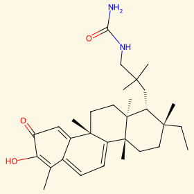 CC[C@]1(C)CC[C@]2(C)C3=CC=C4C(=CC(=O)C(O)=C4C)[C@]3(C)CC[C@@]2(C)[C@@H]1CC(C)(C)CNC(N)=O